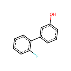 Oc1cccc(-c2ccccc2F)c1